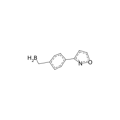 BCc1ccc(-c2ccon2)cc1